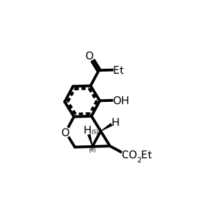 CCOC(=O)C1[C@H]2c3c(ccc(C(=O)CC)c3O)OC[C@@H]12